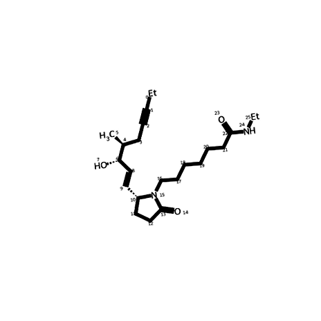 CCC#CC[C@H](C)[C@@H](O)C=C[C@H]1CCC(=O)N1CCCCCCC(=O)NCC